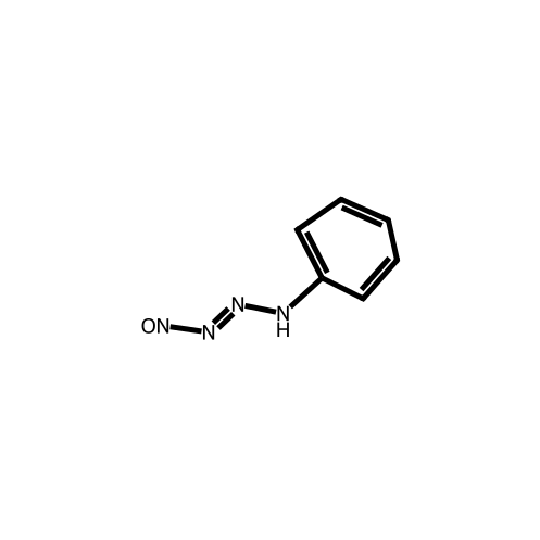 O=NN=NNc1ccccc1